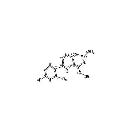 CCOc1nc(N)nc2ncc(-c3ccc(F)cc3Cl)nc12